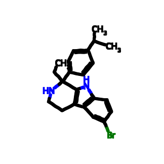 CCC1(c2ccc(C(C)C)cc2)NCCc2c1[nH]c1ccc(Br)cc21